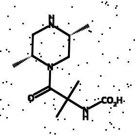 C[C@@H]1CN(C(=O)C(C)(C)NC(=O)O)[C@H](C)CN1